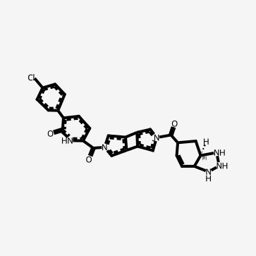 O=C(c1ccc(-c2ccc(Cl)cc2)c(=O)[nH]1)n1cc2c(c1)-c1cn(C(=O)C3C=CC4NNN[C@@H]4C3)cc1-2